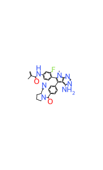 C=C(C)C(=O)Nc1ccc(-c2c(-c3ccc(C(=O)N4CCCC4C#N)cc3)c3c(N)ncnc3n2C)c(F)c1